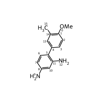 COc1ccc(-c2ccc(N)cc2N)cc1C